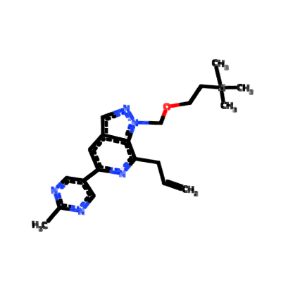 C=CCc1nc(-c2cnc(C)nc2)cc2cnn(COCC[Si](C)(C)C)c12